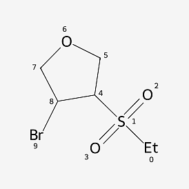 CCS(=O)(=O)C1COCC1Br